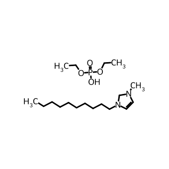 CCCCCCCCCCN1C=CN(C)C1.CCOP(=O)(O)OCC